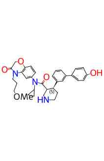 COCCCN1C(=O)COc2ccc(N(C(=O)C3CNCC[C@@H]3c3cccc(-c4ccc(O)cc4)c3)C3CC3)cc21